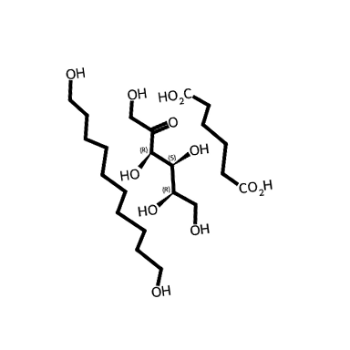 O=C(CO)[C@H](O)[C@@H](O)[C@H](O)CO.O=C(O)CCCCC(=O)O.OCCCCCCCCCCO